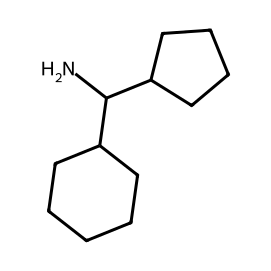 NC(C1CCCCC1)C1CCCC1